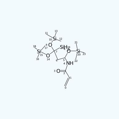 C=CC(=O)NC(CC([SiH3])(O[Si](C)(C)C)O[Si](C)(C)C)O[Si](C)(C)C